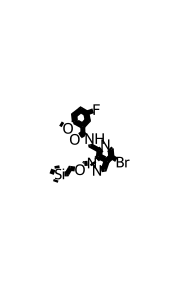 COc1ccc(F)cc1C(=O)NCc1ncc(Br)c2cnn(COCC[Si](C)(C)C)c12